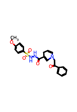 COc1ccc(S(=O)(=O)NNC(=O)C2=CN(CC(=O)c3ccccc3)C=CC2)cc1